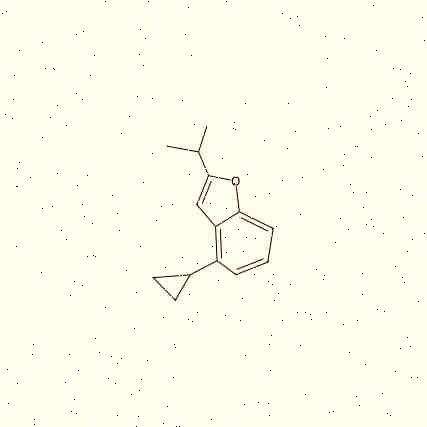 CC(C)c1cc2c(C3CC3)cccc2o1